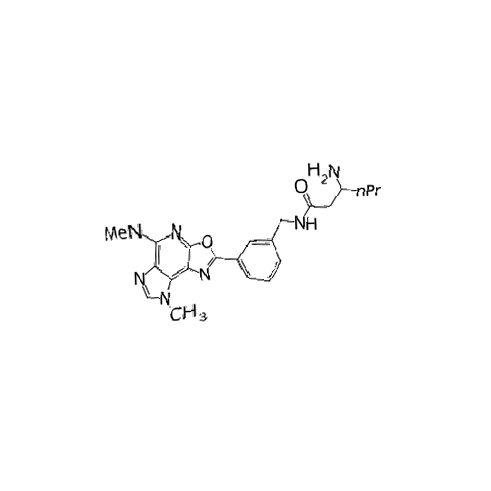 CCCC(N)CC(=O)NCc1cccc(-c2nc3c(nc(NC)c4ncn(C)c43)o2)c1